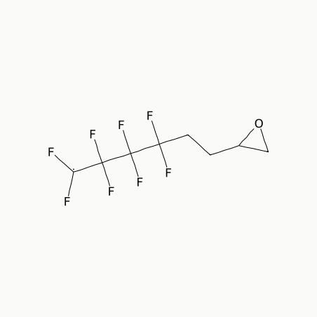 F[C](F)C(F)(F)C(F)(F)C(F)(F)CCC1CO1